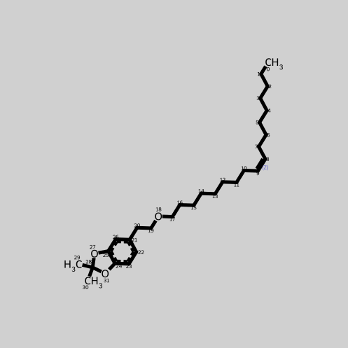 CCCCCCCC/C=C\CCCCCCCCOCCc1ccc2c(c1)OC(C)(C)O2